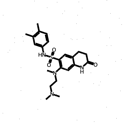 Cc1ccc(NS(=O)(=O)c2cc3c(cc2N(C)CCN(C)C)NC(=O)CC3)cc1C